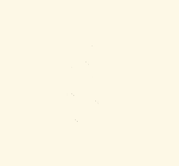 O=C(O)N1CC(Nc2ncccn2)C1